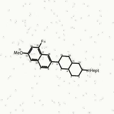 CCCCCCCC1CCC2CC(c3ccc4cc(OC)cc(F)c4c3)CCC2C1